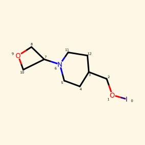 IOCC1CCN(C2COC2)CC1